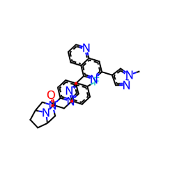 Cn1cc(-c2cc3ncccc3c(-c3ccc(N4CC5CCC(C4)N5C(=O)Cc4ccc(F)cn4)nc3)n2)cn1